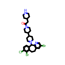 O=C(CC1CCNCC1)N1CCC(C2CCN(C3c4ccc(Cl)c(Br)c4CCc4cc(Br)cnc43)CC2)CC1